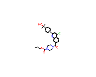 CCCOC(=O)N1CCN(C(=O)c2ccc3c(Cl)cc(-c4ccc(C(C)(C)O)cc4)nc3c2)CC1